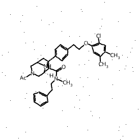 CC(=O)N1CC2CC(c3ccc(CCOc4cc(C)c(C)cc4Cl)cc3)=C(C(=O)N(C)CCc3ccccc3)[C@@H](C1)N2